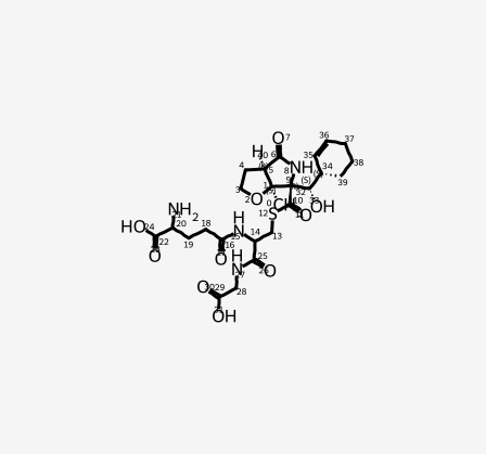 C[C@]12OCC[C@H]1C(=O)N[C@]2(C(=O)SCC(NC(=O)CCC(N)C(=O)O)C(=O)NCC(=O)O)[C@@H](O)[C@@H]1C=CCCC1